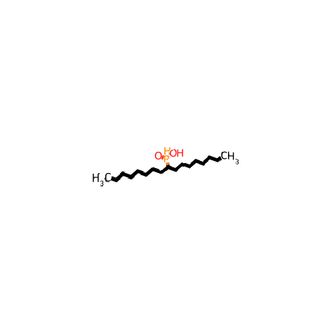 CCCCCCCCC(CCCCCCCC)[PH](=O)O